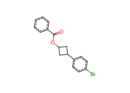 O=C(OC1CC(c2ccc(Br)cc2)C1)c1ccccc1